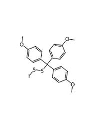 COc1ccc(C(SSI)(c2ccc(OC)cc2)c2ccc(OC)cc2)cc1